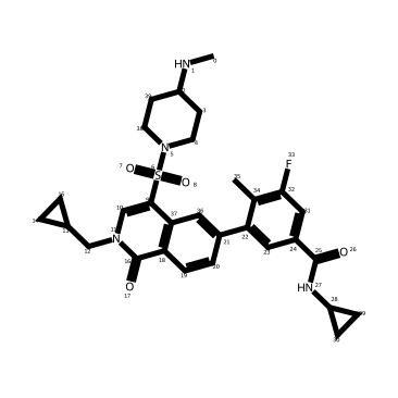 CNC1CCN(S(=O)(=O)c2cn(CC3CC3)c(=O)c3ccc(-c4cc(C(=O)NC5CC5)cc(F)c4C)cc23)CC1